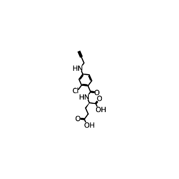 C#CCNc1ccc(C(=O)N[C@H](CCC(=O)O)C(=O)O)c(Cl)c1